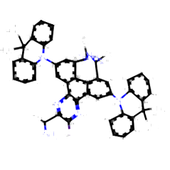 CCC(N)c1nc2c3cc(N4c5ccccc5C(C)(C)c5ccccc54)cc(C(N)CC)c3c3c(C(N)CC)cc(N4c5ccccc5C(C)(C)c5ccccc54)cc3c2nc1I